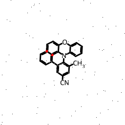 Cc1cc(C#N)cc(-c2ccccc2)c1N1c2ccccc2Oc2ccccc21